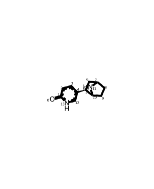 O=c1ccc([C@H]2CC3CCC2N3)c[nH]1